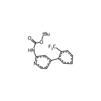 CC(C)(C)OC(=O)Nc1cc(-c2[c]cccc2C(F)(F)F)ccn1